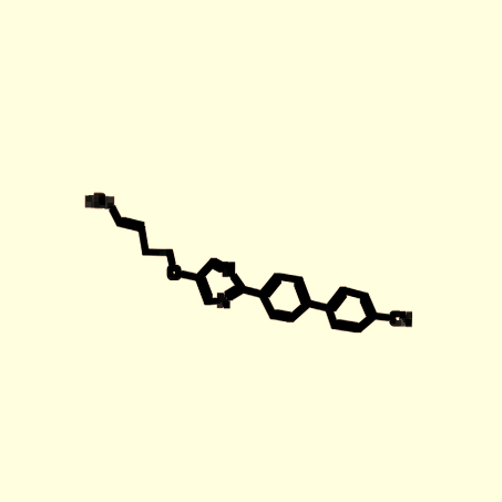 CCCCC=CCCOc1cnc(-c2ccc(-c3ccc(C#N)cc3)cc2)nc1